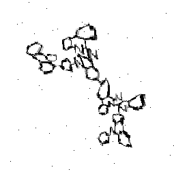 c1ccc(-n2c3ccccc3c3cc(-n4c5ccccc5c5nc6c7ccc(-c8ccc9c(c8)c8nc%10c%11ccccc%11c%11ccccc%11n%10c8n9-c8ccc(-c9cccc%10c9oc9ccccc9%10)cc8)cc7c7ccccc7n6c54)ccc32)cc1